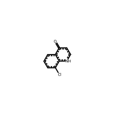 O=c1c[c][nH]c2c(Cl)cccc12